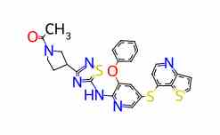 CC(=O)N1CCC(c2nsc(Nc3ncc(Sc4ccnc5ccsc45)cc3Oc3ccccc3)n2)C1